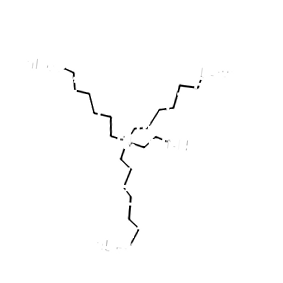 CCCCCCCCCCCCCCCC[N+](CCN)(CCCCCCCCCCCCCCCC)CCCCCCCCCCCCCCCC